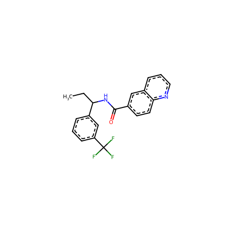 CCC(NC(=O)c1ccc2ncccc2c1)c1cccc(C(F)(F)F)c1